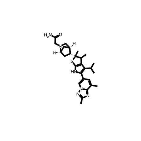 Cc1nc2c(C)cc(-c3[nH]c4c(c3C(C)C)C(C)C(C)([C@@H]3C[C@@H]5C[C@H]3CN5CC(N)=O)S4)cn2n1